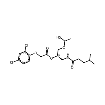 CC(C)CCC(=O)NC[C@H](COC(C)S)OC(=O)COc1ccc(Cl)cc1Cl